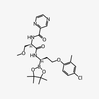 COC[C@@H](NC(=O)c1cnccn1)C(=O)N[C@@H](CCOc1ccc(Cl)cc1C)B1OC(C)(C)C(C)(C)O1